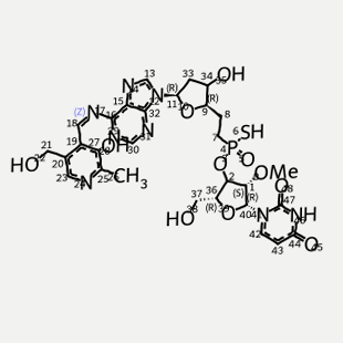 CO[C@H]1C(OP(=O)(S)CC[C@H]2O[C@@H](n3cnc4c(/N=C\c5c(CO)cnc(C)c5O)ncnc43)CC2O)[C@@H](CO)O[C@H]1n1ccc(=O)[nH]c1=O